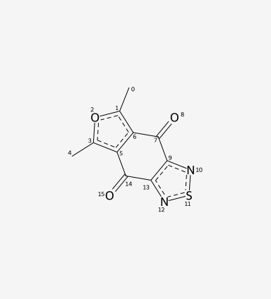 Cc1oc(C)c2c1C(=O)c1nsnc1C2=O